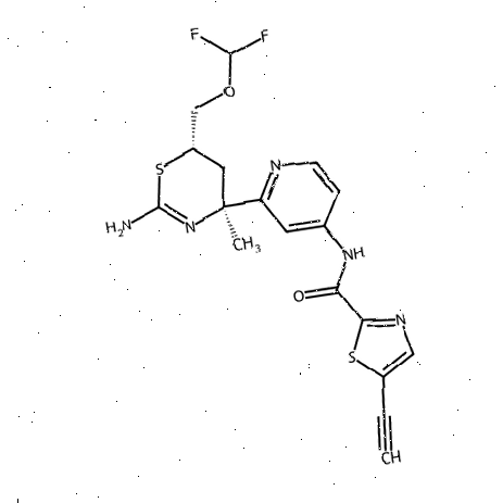 C#Cc1cnc(C(=O)Nc2ccnc([C@]3(C)C[C@@H](COC(F)F)SC(N)=N3)c2)s1